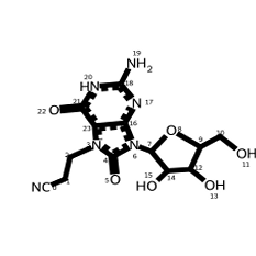 N#CCCn1c(=O)n(C2OC(CO)C(O)C2O)c2nc(N)[nH]c(=O)c21